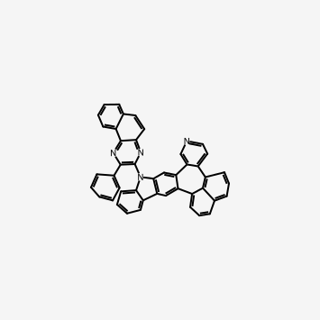 c1ccc(-c2nc3c(ccc4ccccc43)nc2-n2c3ccccc3c3cc4c(cc32)-c2cnccc2-c2cccc3cccc-4c23)cc1